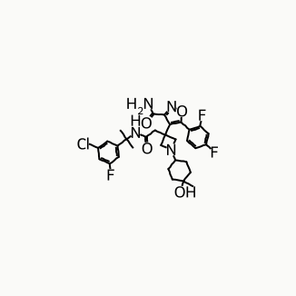 CC1(O)CCC(N2CC(CC(=O)NC(C)(C)c3cc(F)cc(Cl)c3)(c3c(C(N)=O)noc3-c3ccc(F)cc3F)C2)CC1